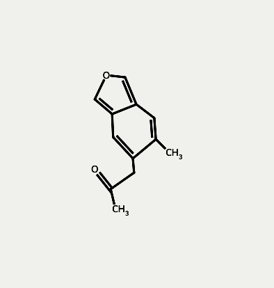 CC(=O)Cc1cc2cocc2cc1C